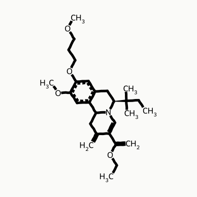 C=C1CC2c3cc(OC)c(OCCCOC)cc3C[C@@H](C(C)(C)CC)N2C=C1C(=C)OCC